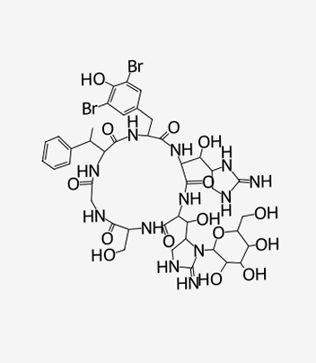 CC(c1ccccc1)C1NC(=O)CNC(=O)C(CO)NC(=O)C(C(O)C2CNC(=N)N2C2OC(CO)C(O)C(O)C2O)NC(=O)C(C(O)C2CNC(=N)N2)NC(=O)C(Cc2cc(Br)c(O)c(Br)c2)NC1=O